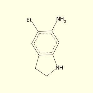 CCc1cc2c(cc1N)NCC2